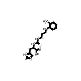 Cc1ccccc1NCCCNC(=O)NC(Cc1cnc[nH]1)C(=O)O